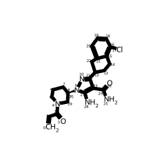 C=CC(=O)N1CCC[C@@H](n2nc(C3CCc4c(Cl)cccc4C3)c(C(N)=O)c2N)C1